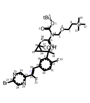 CC(C)(C)OC(=O)N(COCC[Si](C)(C)C)C1=NC(C)(c2cc(/C=C(\F)c3cnc(Br)cn3)ccc2F)C2CC2(C(=O)O)S1